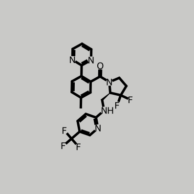 Cc1ccc(-c2ncccn2)c(C(=O)N2CCC(F)(F)[C@H]2CNc2ccc(C(F)(F)F)cn2)c1